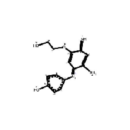 N=C1C=C(N)/C(=N/c2ccc(O)cc2)C=C1OCCO